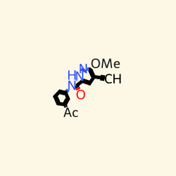 C#Cc1cc(C(=O)Nc2cccc(C(C)=O)c2)nnc1OC